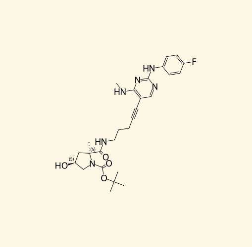 CNc1nc(Nc2ccc(F)cc2)ncc1C#CCCCNC(=O)[C@]1(C)C[C@H](O)CN1C(=O)OC(C)(C)C